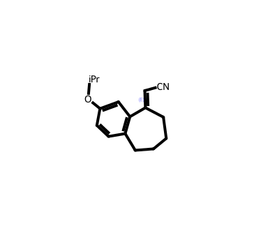 CC(C)Oc1ccc2c(c1)/C(=C/C#N)CCCC2